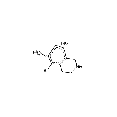 Br.Oc1ccc2c(c1Br)CCNC2